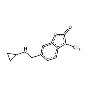 Cn1c(=O)oc2cc(CNC3CC3)ccc21